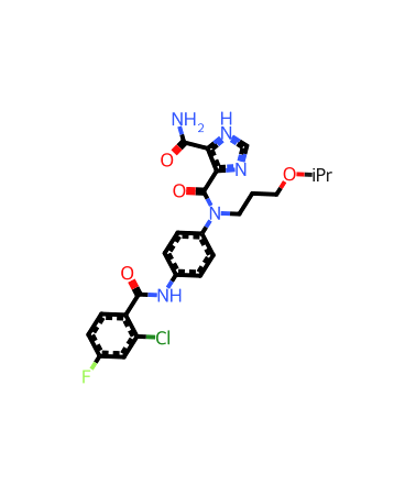 CC(C)OCCCN(C(=O)c1nc[nH]c1C(N)=O)c1ccc(NC(=O)c2ccc(F)cc2Cl)cc1